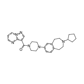 O=C(c1cnn2cccnc12)N1CCN(c2ccc3c(c2)CCN(C2CCCC2)CC3)CC1